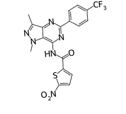 Cc1nn(C)c2c(NC(=O)c3ccc([N+](=O)[O-])s3)nc(-c3ccc(C(F)(F)F)cc3)nc12